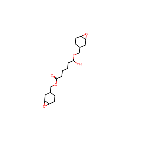 O=C(CCCCC(O)OCC1CCC2OC2C1)OCC1CCC2OC2C1